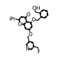 CC(C)c1cc(=O)c2c(OCc3ccccc3CO)cc(OCc3cncc(CF)c3)cc2o1